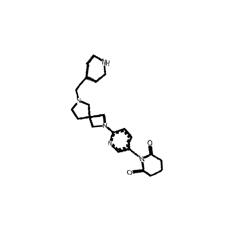 O=C1CCCC(=O)N1c1ccc(N2CC3(CCN(CC4CCNCC4)C3)C2)nc1